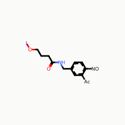 CC(=O)c1cc(CNC(=O)CCCOI)ccc1N=O